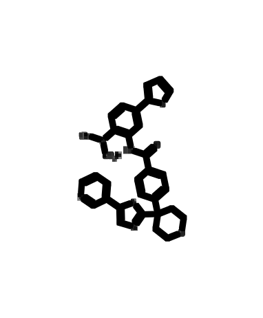 CC(C)(C)N(C(=O)O)c1ccc(-c2cccs2)cc1NC(=O)c1ccc(C2(c3ncc(-c4cccnc4)s3)CCOCC2)cc1